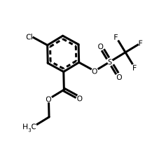 CCOC(=O)c1cc(Cl)ccc1OS(=O)(=O)C(F)(F)F